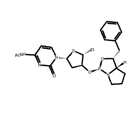 CC[C@H]1O[C@@H](n2ccc(NC(C)=O)nc2=O)CC1O[P@@]1O[C@H](Cc2ccccc2)[C@@H]2CCCN21